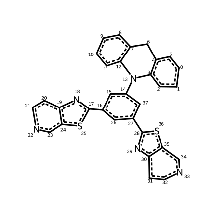 c1ccc2c(c1)Cc1ccccc1N2c1cc(-c2nc3ccncc3s2)cc(-c2nc3ccncc3s2)c1